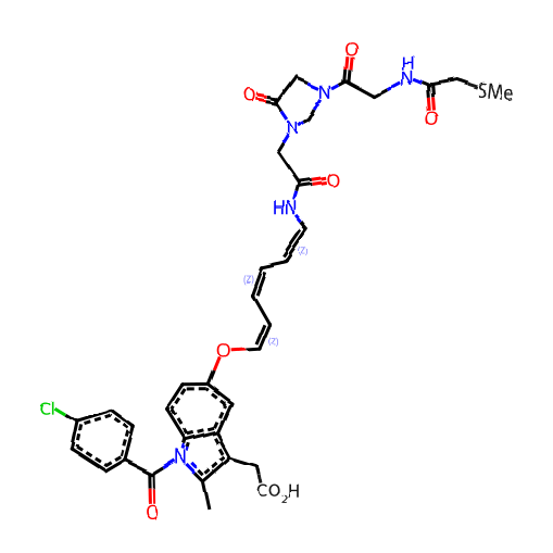 CSCC(=O)NCC(=O)N1CC(=O)N(CC(=O)N\C=C/C=C\C=C/Oc2ccc3c(c2)c(CC(=O)O)c(C)n3C(=O)c2ccc(Cl)cc2)C1